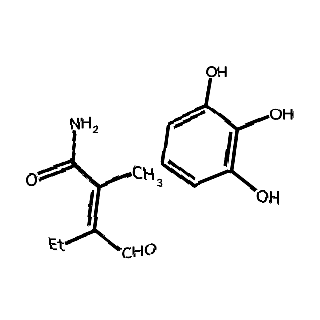 CCC(C=O)=C(C)C(N)=O.Oc1cccc(O)c1O